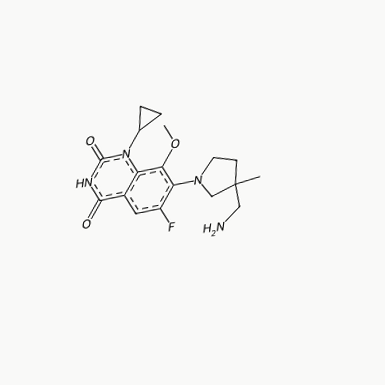 COc1c(N2CCC(C)(CN)C2)c(F)cc2c(=O)[nH]c(=O)n(C3CC3)c12